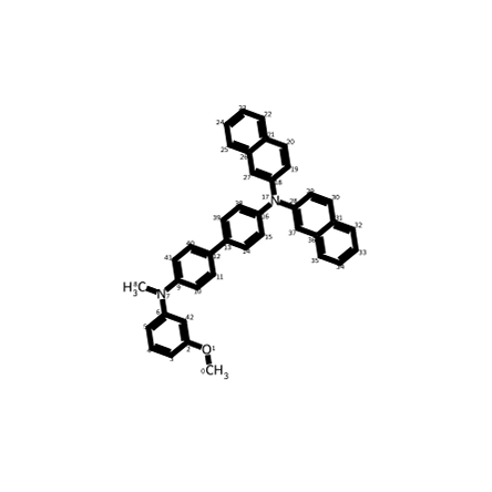 COc1cccc(N(C)c2ccc(-c3ccc(N(c4ccc5ccccc5c4)c4ccc5ccccc5c4)cc3)cc2)c1